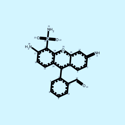 N=c1ccc2c(-c3ccccc3C=O)c3ccc(N)c(S(N)(=O)=O)c3oc-2c1